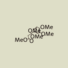 COC(=O)CC(OC)(OC)c1ccc(OC)c(OC)c1